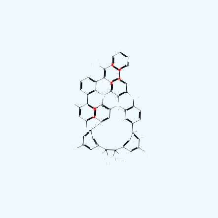 Cc1cc(C)c(-c2cccc(-c3c(C)cc(C)cc3C)c2N2c3ccc4cc3B3c5cc(ccc5Oc5cc(-c6ccccc6)cc2c53)-c2cc(C(C)(C)C)cc(c2)C(C)(C)C(C)(C)c2cc-4cc(C(C)(C)C)c2)c(C)c1